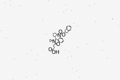 O=C(O)CCC(=O)N(C1CC1)C1c2ccccc2N(C(=O)OC2Cc3ccccc3C2)C2CCCC21